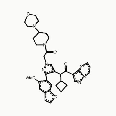 COc1cc2ccsc2cc1-c1nn(CC(=O)N2CCC(N3CCOCC3)CC2)cc1C(C(=O)c1cnn2cccnc12)C1CCC1